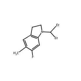 CCC(CC)N1CCc2cc(C)c(F)cc21